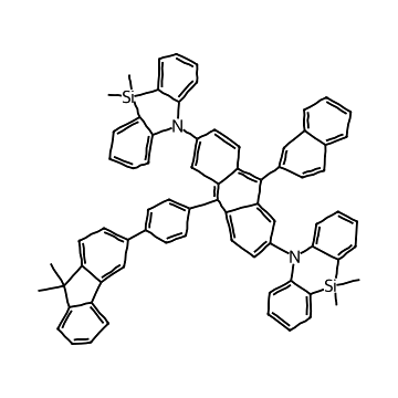 CC1(C)c2ccccc2-c2cc(-c3ccc(-c4c5ccc(N6c7ccccc7[Si](C)(C)c7ccccc76)cc5c(-c5ccc6ccccc6c5)c5ccc(N6c7ccccc7[Si](C)(C)c7ccccc76)cc45)cc3)ccc21